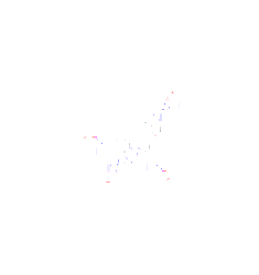 CC(C)(C)OC(=O)NCCCc1cc(N(C(N)=O)c2cc(C(F)(F)F)c(SCCNC(=O)OC(C)(C)C)cc2SCCNC(=O)OC(C)(C)C)ccc1Oc1ccc(NCCNC(=O)OC(C)(C)C)c(C(F)(F)F)c1